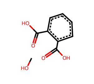 CO.O=C(O)c1ccccc1C(=O)O